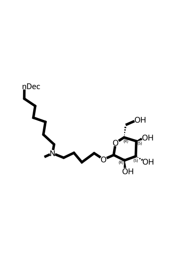 CCCCCCCCCCCCCCCCN(C)CCCCOC1O[C@H](CO)[C@@H](O)[C@H](O)[C@H]1O